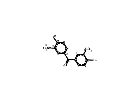 O=C(c1ccc(I)c([N+](=O)[O-])c1)c1ccc(I)c([N+](=O)[O-])c1